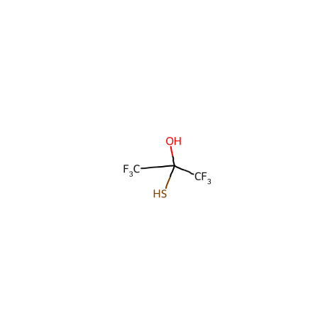 OC(S)(C(F)(F)F)C(F)(F)F